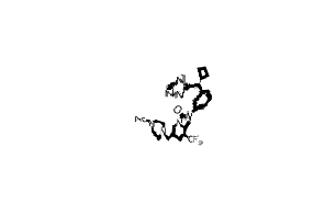 CC(=O)N1CCN(Cc2cc(C(F)(F)F)c3cn(-c4cccc([C@H](c5nncn5C)C5CCC5)c4)c(=O)n3c2)CC1